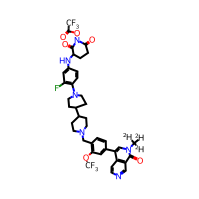 [2H]C([2H])([2H])n1cc(-c2ccc(CN3CCC(C4CCN(c5ccc(NC6CCC(=O)N(OC(=O)C(F)(F)F)C6=O)cc5F)CC4)CC3)c(OC(F)(F)F)c2)c2ccncc2c1=O